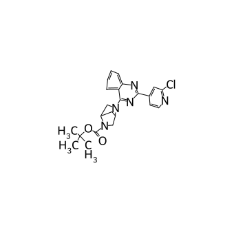 CC(C)(C)OC(=O)N1CC2CC1CN2c1nc(-c2ccnc(Cl)c2)nc2ccccc12